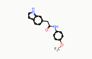 O=C(Cc1ccc2cc[nH]c2c1)Nc1ccc(OC(F)(F)F)cc1